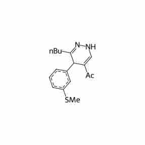 CCCCC1=NNC=C(C(C)=O)C1c1cccc(SC)c1